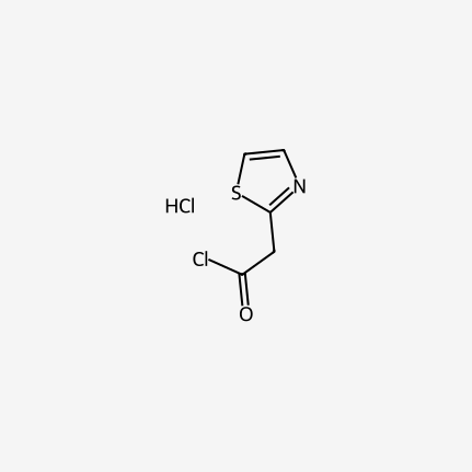 Cl.O=C(Cl)Cc1nccs1